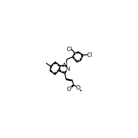 COC(=O)C=Cc1nn(Cc2ccc(Cl)cc2Cl)c2cc(C)ccc12